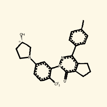 Cc1ccc(-c2nn(-c3cc(N4CC[C@H](O)C4)ccc3C(F)(F)F)c(=O)c3c2CCC3)cc1